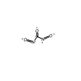 O=NC(=O)N=O